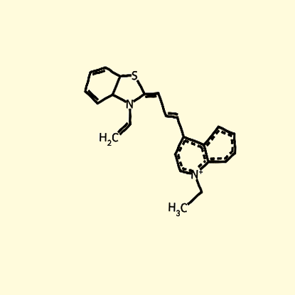 C=CN1C(=CC=Cc2cc[n+](CC)c3ccccc23)SC2C=CC=CC21